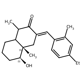 CCc1ccc(C=C2C[C@@]3(C)C(CCC[C@@H]3O)C(C)C2=O)c(C)c1